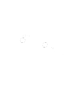 CCCCCCC(CCCOc1ccc(CN2CC(C(=O)O)C2)cc1)Cc1ccc(C)c(C)c1